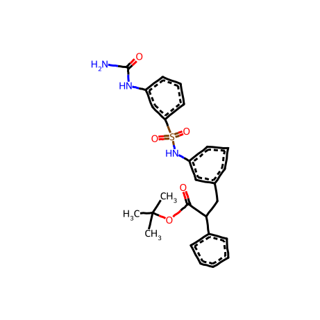 CC(C)(C)OC(=O)C(Cc1cccc(NS(=O)(=O)c2cccc(NC(N)=O)c2)c1)c1ccccc1